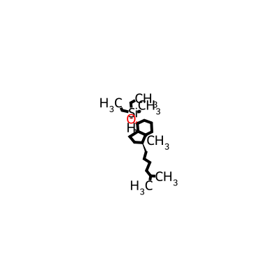 CC[Si](CC)(CC)OC1CCC[C@]2(C)[C@@H](CCCCC(C)C)CC[C@@H]12